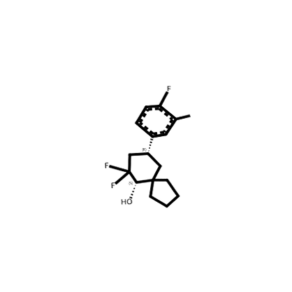 Cc1cc([C@H]2CC(F)(F)[C@@H](O)C3(CCCC3)C2)ccc1F